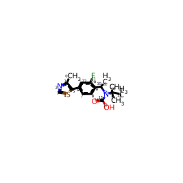 Cc1ncsc1-c1ccc(C(C)N(C(=O)O)C(C)(C)C)c(F)c1